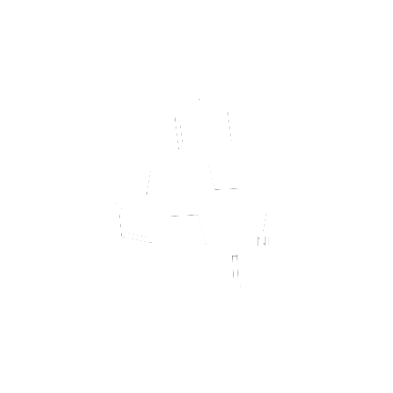 O=C1CC2=C(CCN1)c1ccccc1Sc1sccc12